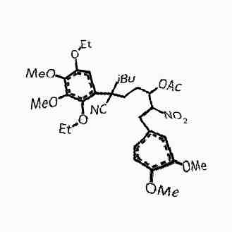 CCOc1cc(C(C#N)(CCC(OC(C)=O)C(Cc2ccc(OC)c(OC)c2)[N+](=O)[O-])C(C)CC)c(OCC)c(OC)c1OC